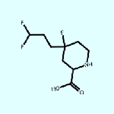 O=C(O)C1CC(F)(CCC(F)F)CCN1